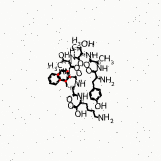 C[C@H](NC(=O)[C@@H](N)Cc1ccc(O)cc1)C(=O)N[C@H](C(=O)N[C@H](C(=O)N[C@@H](Cc1ccccc1)C(=O)N[C@@H](Cc1ccccc1)C(=O)N[C@@H](CCCCN)C(=O)O)[C@@H](C)O)[C@@H](C)O